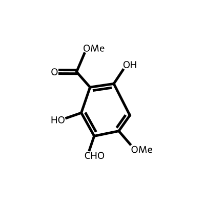 COC(=O)c1c(O)cc(OC)c(C=O)c1O